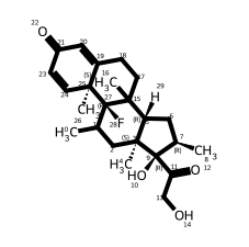 CC1C[C@@]2(C)[C@@H](C[C@@H](C)[C@]2(O)C(=O)CO)C2(C)CCC3=CC(=O)C=C[C@]3(C)[C@@]12F